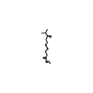 CC(C)C(=O)CCSSCCNN